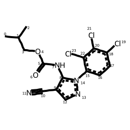 CC(C)COC(=O)Nc1c(C#N)cnn1-c1ccc(Cl)c(Cl)c1Cl